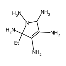 CCC1(N)C(N)=C(N)C(N)N1N